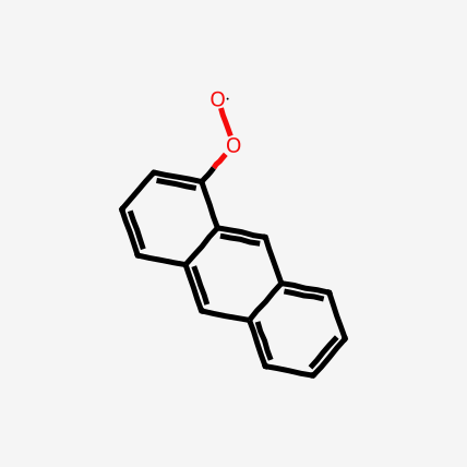 [O]Oc1cccc2cc3ccccc3cc12